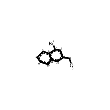 [O]Cc1cc(Br)c2ccccc2c1